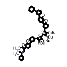 C=C/C(=C\c1c(C)oc2c1ccc1c3cc(-c4sc(-c5sc(-c6ccc7oc8c(ccc9c%10cc(-c%11ccccc%11)ccc%10oc98)c7c6)c(CCCC)c5CCCC)c(CCCC)c4CCCC)ccc3oc12)c1ccccc1